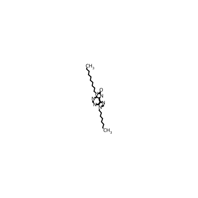 CCCCCCCCCCn1c2ncnc3c(ncn3CCCCCCCC)c-2nc1=O